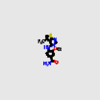 CCOc1cc(C(N)=O)ccc1Nc1ncnc2scc(C(F)(F)F)c12